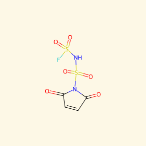 O=C1C=CC(=O)N1S(=O)(=O)NS(=O)(=O)F